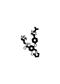 CC(C)c1nnc(-c2ccc(Oc3cc(C(=O)NCc4cnsn4)ccc3CN3CCCC3=O)cc2)s1